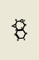 C1=CC2=C(CC1)COCO2